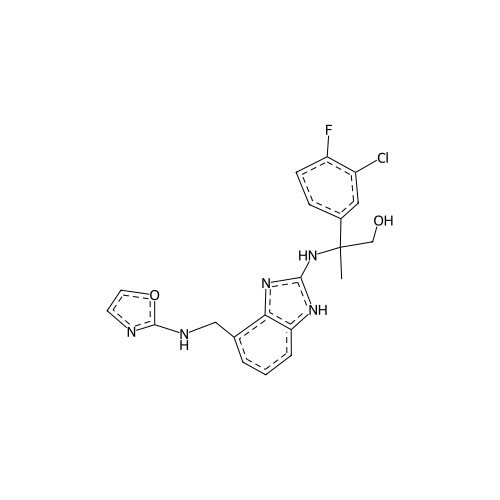 CC(CO)(Nc1nc2c(CNc3ncco3)cccc2[nH]1)c1ccc(F)c(Cl)c1